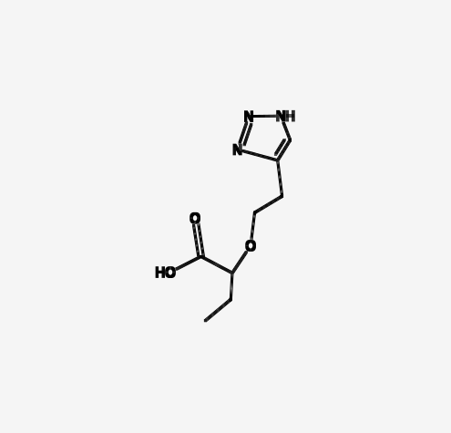 CCC(OCCc1c[nH]nn1)C(=O)O